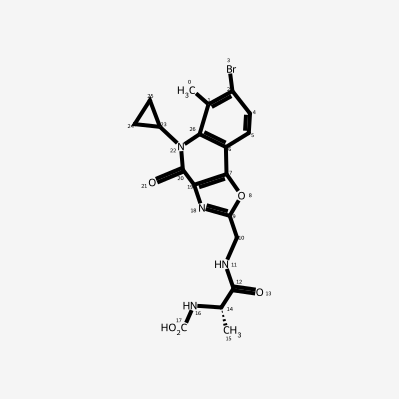 Cc1c(Br)ccc2c3oc(CNC(=O)[C@H](C)NC(=O)O)nc3c(=O)n(C3CC3)c12